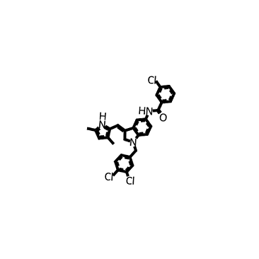 Cc1cc(C)c(/C=C2\CN(Cc3ccc(Cl)c(Cl)c3)c3ccc(NC(=O)c4cccc(Cl)c4)cc32)[nH]1